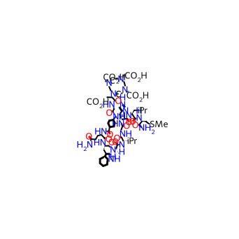 CSCC[C@H](NC(=O)[C@H](CC(C)C)NC(=O)[C@H](Cc1c[nH]cn1)NC(=O)CNC(=O)[C@@H](NC(=O)[C@H](C)NC(=O)[C@H](Cc1c[nH]c2ccccc12)NC(=O)C(CCC(N)=O)NC(=O)c1ccc(NC(=O)CNC(=O)C(CC(=O)O)N2CCN(CC(=O)O)CCN(CC(=O)O)CCN(CC(=O)O)CC2)cc1)C(C)C)C(N)=O